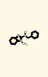 Cn1c([S+]([O-])Cc2ccccc2)nc2ccccc21